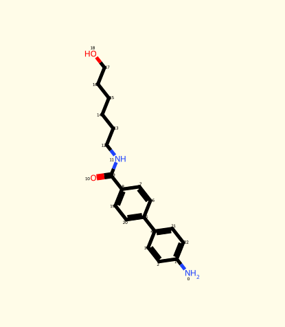 Nc1ccc(-c2ccc(C(=O)NCCCCCCO)cc2)cc1